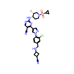 N#Cc1cnc(N[C@H]2CCN(S(=O)(=O)C3CC3)C[C@H]2F)nc1-c1cnn(-c2ccc(CNC3CC(C#N)C3)cc2Cl)c1